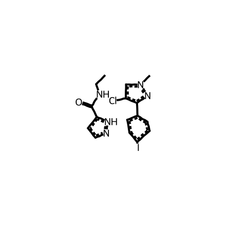 CCNC(=O)c1ccn[nH]1.Cn1cc(Cl)c(-c2ccc(I)cc2)n1